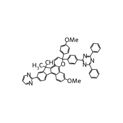 COc1ccc(C2(c3ccc(-c4nc(-c5ccccc5)nc(-c5ccccc5)n4)cc3)C=Cc3c4c(c5ccc(OC)cc5c3O2)-c2ccc(-c3ncccn3)cc2C4(C)C)cc1